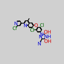 Cc1cc(-c2ccnc(Cl)c2)nc2ccc(Oc3c(Cl)cc(N4N=C(C#N)C(O)NC4O)cc3Cl)cc12